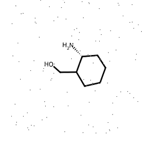 N[C@@H]1CCCCC1CO